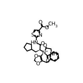 COC(=O)c1csc(NC(=O)[C@H](CC2CCCC2)[N+]2(C3=C(Cc4ccccc4)OCO3)C(=O)CNC2=O)n1